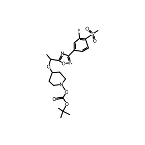 CC(OC1CCN(OC(=O)OC(C)(C)C)CC1)c1nc(-c2ccc(S(C)(=O)=O)c(F)c2)no1